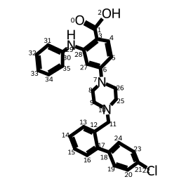 O=C(O)c1ccc(N2CCN(Cc3ccccc3-c3ccc(Cl)cc3)CC2)cc1Nc1ccccc1